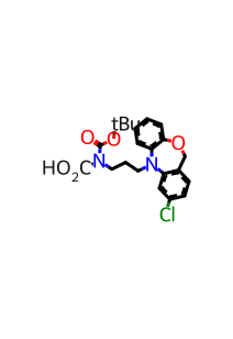 CC(C)(C)OC(=O)N(CCCN1c2cc(Cl)ccc2COc2ccccc21)C(=O)O